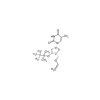 C=COC[C@H]1O[C@@H](n2cc(C)c(=O)[nH]c2=O)CC1O[Si](C)(C)C(C)(C)C